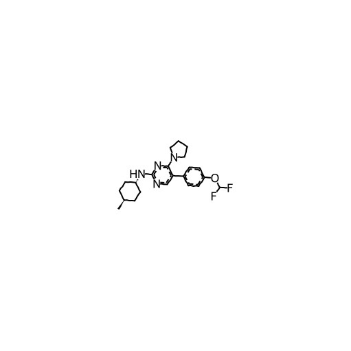 C[C@H]1CC[C@H](Nc2ncc(-c3ccc(OC(F)F)cc3)c(N3CCCC3)n2)CC1